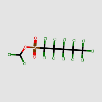 O=S(=O)(O[C](Cl)Cl)C(Cl)(Cl)C(Cl)(Cl)C(Cl)(Cl)C(Cl)(Cl)C(Cl)(Cl)Cl